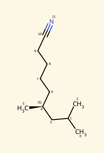 CC(C)C[C@@H](C)CCCCC#N